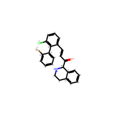 O=C(/C=C/c1cc[c]c(Cl)c1-c1ccccc1Br)C1NCCc2ccccc21